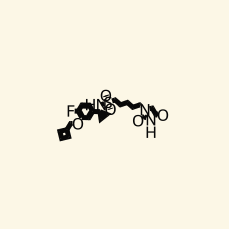 O=C1CN(CCCCCS(=O)(=O)NC2(c3ccc(F)c(OCC4CCC4)c3)CC2)C(=O)N1